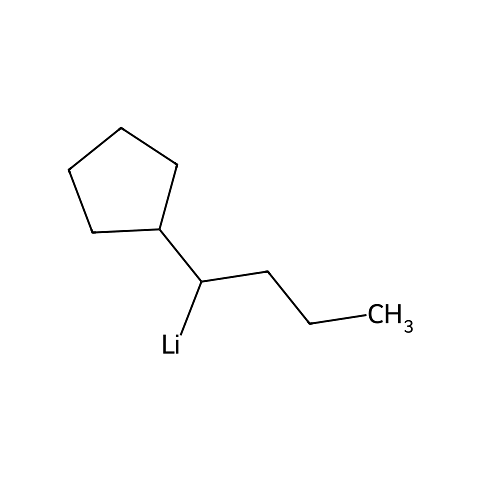 [Li][CH](CCC)C1CCCC1